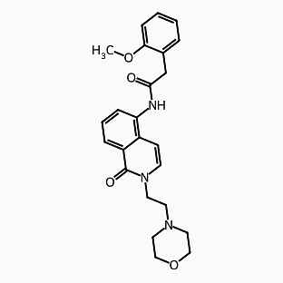 COc1ccccc1CC(=O)Nc1cccc2c(=O)n(CCN3CCOCC3)ccc12